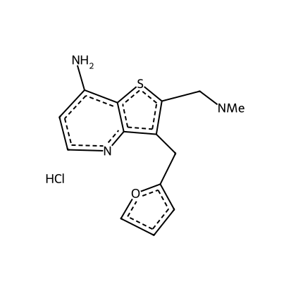 CNCc1sc2c(N)ccnc2c1Cc1ccco1.Cl